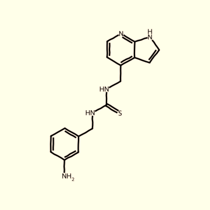 Nc1cccc(CNC(=S)NCc2ccnc3[nH]ccc23)c1